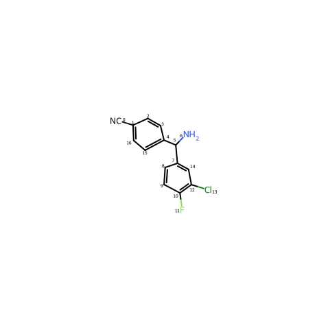 N#Cc1ccc(C(N)c2ccc(F)c(Cl)c2)cc1